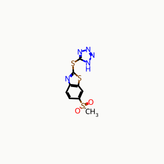 CS(=O)(=O)c1ccc2nc(Sc3nnn[nH]3)sc2c1